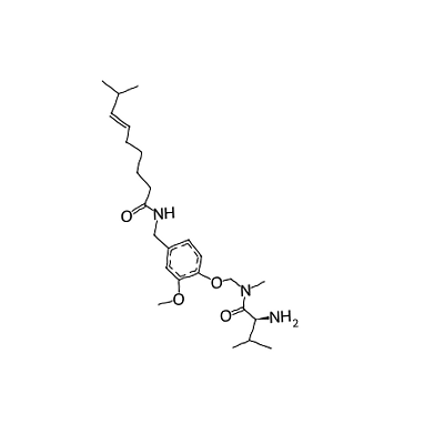 COc1cc(CNC(=O)CCCC/C=C/C(C)C)ccc1OCN(C)C(=O)[C@@H](N)C(C)C